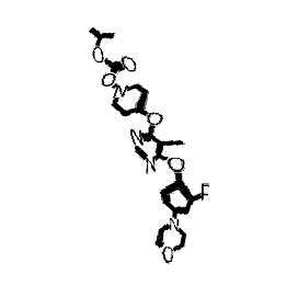 Cc1c(Oc2ccc(N3CCOCC3)cc2F)ncnc1OC1CCN(OC(=O)OC(C)C)CC1